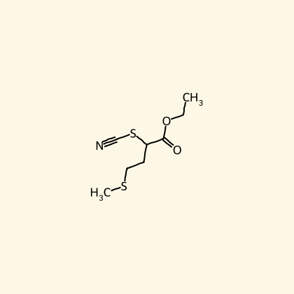 CCOC(=O)C(CCSC)SC#N